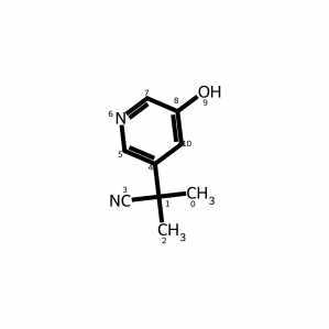 CC(C)(C#N)c1cncc(O)c1